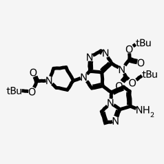 CC(C)(C)OC(=O)N1CCC(n2cc(-c3ccc(N)c4nccn34)c3c(N(C(=O)OC(C)(C)C)C(=O)OC(C)(C)C)ncnc32)CC1